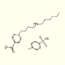 CCCCCCNCCCCc1ccc([N+](=O)[O-])cc1.Cc1ccc(S(=O)(=O)O)cc1